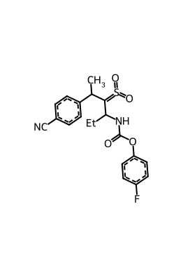 CCC(NC(=O)Oc1ccc(F)cc1)C(C(C)c1ccc(C#N)cc1)=S(=O)=O